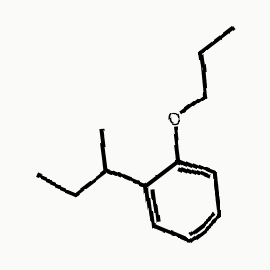 CCCOc1ccccc1C(C)CC